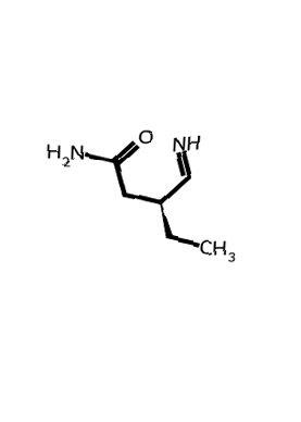 CC[C@H](C=N)CC(N)=O